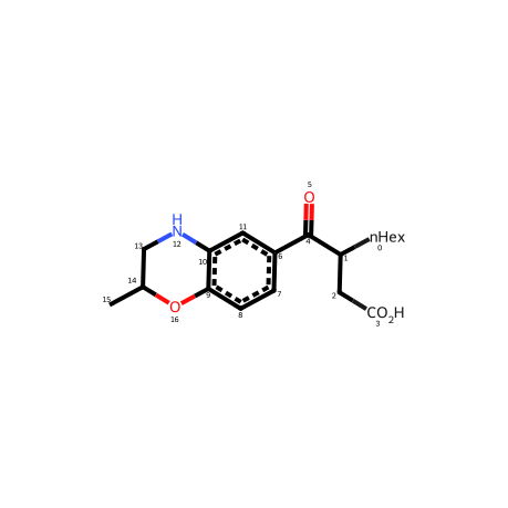 CCCCCCC(CC(=O)O)C(=O)c1ccc2c(c1)NCC(C)O2